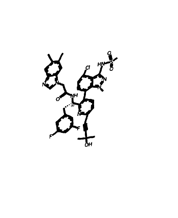 Cc1cc2ncn(CC(=O)N[C@@H](Cc3cc(F)cc(F)c3)c3nc(C#CC(C)(C)O)ccc3-c3ccc(Cl)c4c(NS(C)(=O)=O)nn(C)c34)c2cc1C